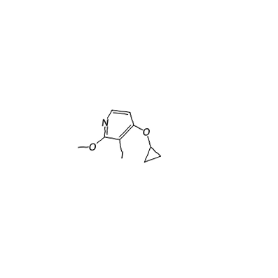 COc1nccc(OC2CC2)c1I